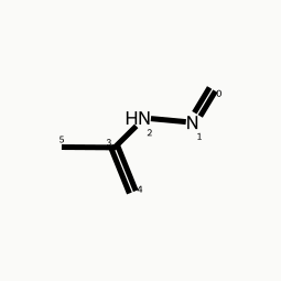 C=NNC(=C)C